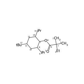 CCC(C)(C)C(=O)OC1C(C(C)C)CC(C(C)(C)C)CC1C(C)C